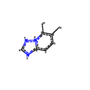 Cc1ccc2ncnn2c1C